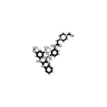 COc1cc(Nc2nc3ccccc3nc2NS(=O)(=O)c2cccc(NC(=O)CN3CCN(C=O)CC3)c2)cc(OC)c1